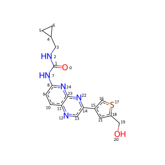 O=C(NCC1CC1)Nc1ccc2ncc(-c3csc(CO)c3)nc2n1